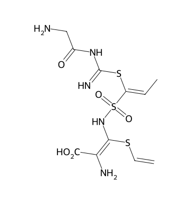 C=CS/C(NS(=O)(=O)/C(=C/C)SC(=N)NC(=O)CN)=C(\N)C(=O)O